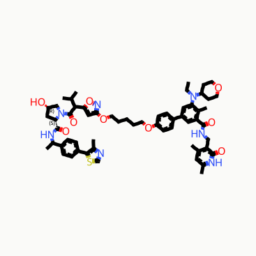 CCN(c1cc(-c2ccc(OCCCCCOc3cc(C(C(=O)N4C[C@H](O)C[C@H]4C(=O)NC(C)c4ccc(-c5scnc5C)cc4)C(C)C)on3)cc2)cc(C(=O)NCc2c(C)cc(C)[nH]c2=O)c1C)C1CCOCC1